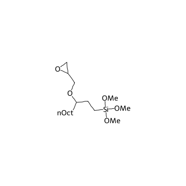 CCCCCCCCC(CC[Si](OC)(OC)OC)OCC1CO1